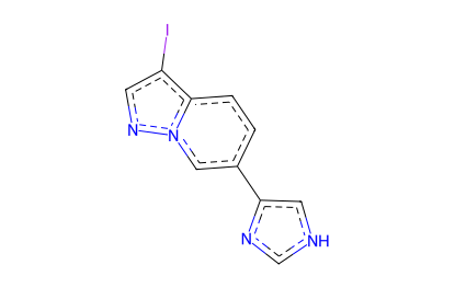 Ic1cnn2cc(-c3c[nH]cn3)ccc12